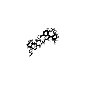 CCOC(=O)c1cccnc1N1CCN(CCC=C2c3cc(Cl)ccc3OCOc3ccc(Cl)cc32)CC1